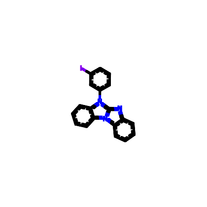 Ic1cccc(-n2c3ccccc3n3c4ccccc4nc23)c1